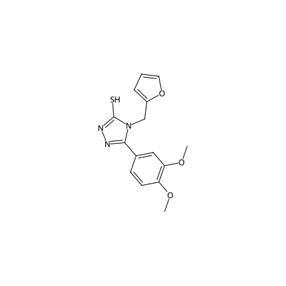 COc1ccc(-c2nnc(S)n2Cc2ccco2)cc1OC